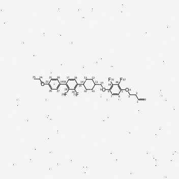 C=CCCOc1ccc(OCC2CCC(c3ccc(-c4ccc(OCC)cc4)c(F)c3F)CC2)c(F)c1F